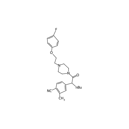 CCCCC(C(=O)N1CCN(CCOc2ccc(F)cc2)CC1)c1ccc(C#N)c(C)c1